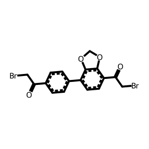 O=C(CBr)c1ccc(-c2ccc(C(=O)CBr)c3c2OCO3)cc1